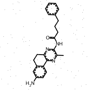 Cc1nc2c(nc1NC(=O)CCCc1ccccc1)CCc1cc(N)ccc1-2